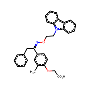 Cc1cc(C(Cc2ccccc2)=NOCCn2c3ccccc3c3ccccc32)ccc1OCC(=O)O